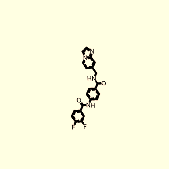 O=C(NCc1ccn2ccnc2c1)c1ccc(NC(=O)c2ccc(F)c(F)c2)cc1